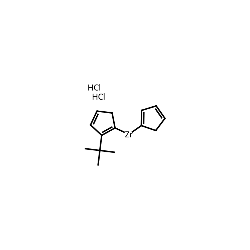 CC(C)(C)C1=[C]([Zr][C]2=CC=CC2)CC=C1.Cl.Cl